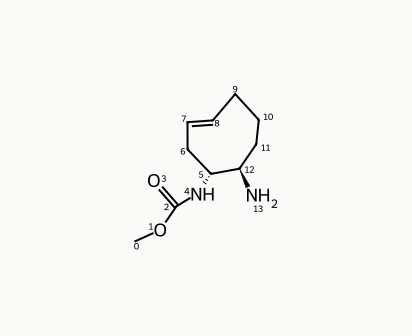 COC(=O)N[C@@H]1C/C=C/CCC[C@H]1N